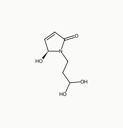 O=C1C=C[C@H](O)N1CCC(O)O